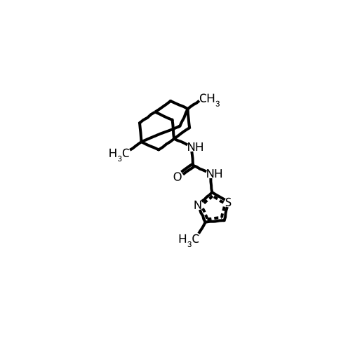 Cc1csc(NC(=O)NC23CC4CC(C)(CC(C)(C4)C2)C3)n1